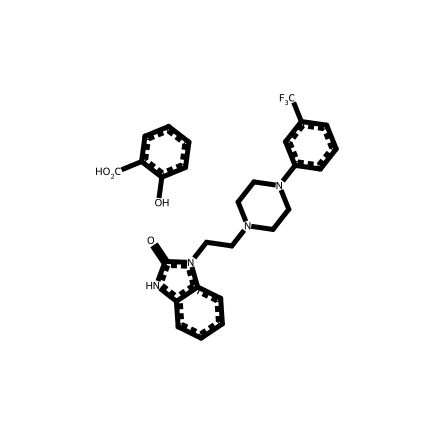 O=C(O)c1ccccc1O.O=c1[nH]c2ccccc2n1CCN1CCN(c2cccc(C(F)(F)F)c2)CC1